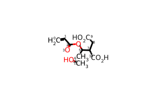 C=CC(=O)OC(C)C(CC(=O)O)C(=O)O.CO